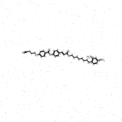 N#CCCCOc1ccc(C(=O)Oc2ccc(C=CC(=O)OCCCCCCCCc3ccc(N)cc3N)cc2)cc1